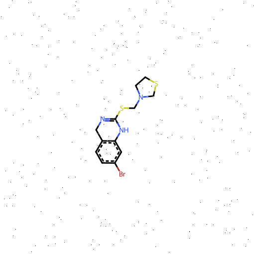 Brc1ccc2c(c1)NC(SCN1CCSC1)=NC2